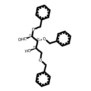 O=C[C@@H](OCc1ccccc1)[C@H](OCc1ccccc1)[C@H](O)COCc1ccccc1